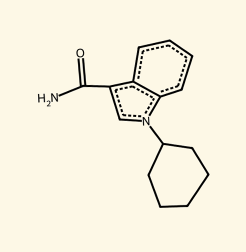 NC(=O)c1cn(C2CCCCC2)c2ccccc12